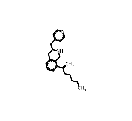 C=C(CCCCC)c1cccc2c1CNC(Cc1ccncc1)C2